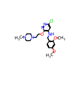 COc1ccc(CNc2cc(Cl)nnc2OCCN2CCN(C)CC2)c(OC)c1